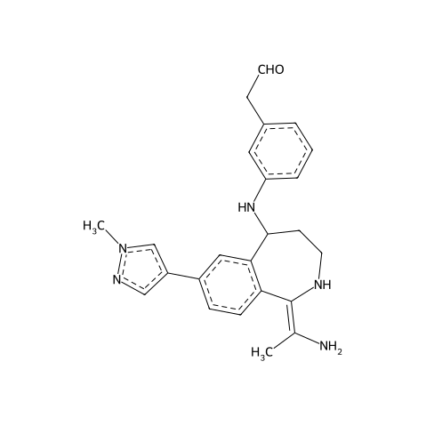 C/C(N)=C1/NCCC(Nc2cccc(CC=O)c2)c2cc(-c3cnn(C)c3)ccc21